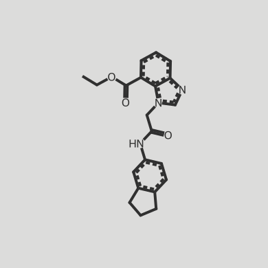 CCOC(=O)c1cccc2ncn(CC(=O)Nc3ccc4c(c3)CCC4)c12